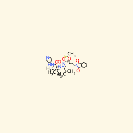 CC(=S)O[C@@H](CCCN1C(=O)c2ccccc2C1=O)C(=O)N(CCC(C)C)C(=O)N[C@H](C(=O)Nc1ccncc1)C(C)(C)C